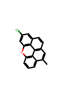 Cc1cc2ccc3cc(Cl)cc4c3c2c2c(cccc12)O4